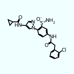 N[S+]([O-])c1cc(NC(=O)Cc2ccccc2Cl)ccc1-n1cc(NC(=O)C2CC2)cn1